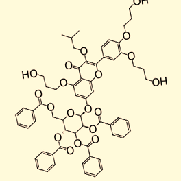 CC(C)COc1c(-c2ccc(OCCCO)c(OCCCO)c2)oc2cc(O[C@@H]3OC(COC(=O)c4ccccc4)[C@@H](OC(=O)c4ccccc4)C(OC(=O)c4ccccc4)[C@@H]3OC(=O)c3ccccc3)cc(OCCCO)c2c1=O